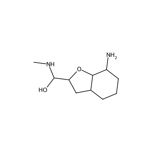 CNC(O)C1CC2CCCC(N)C2O1